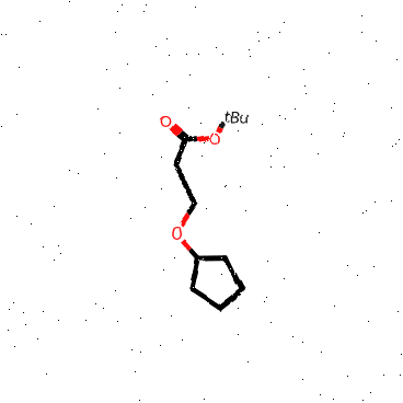 CC(C)(C)OC(=O)CCOC1CCCC1